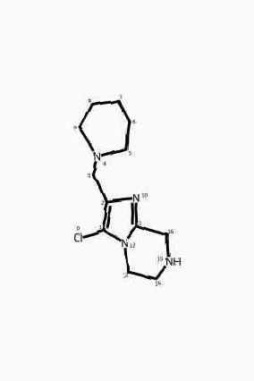 Clc1c(CN2CCCCC2)nc2n1CCNC2